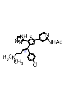 CC(=O)Nc1cc(-c2cc(/C(=C/CCN(C)C)c3ccc(Cl)cc3)c(-c3nnc[nH]3)s2)ccn1